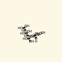 O.O.OB(O)O.OB(O)O.OB(O)O.OB(O)O.[KH]